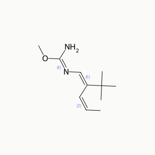 C\C=C/C(=C\N=C(/N)OC)C(C)(C)C